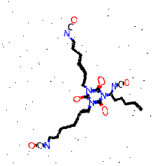 CCCCCC(N=C=O)n1c(=O)n(CCCCCCN=C=O)c(=O)n(CCCCCCN=C=O)c1=O